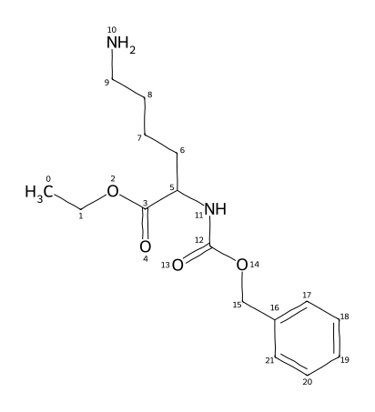 CCOC(=O)C(CCCCN)NC(=O)OCc1ccccc1